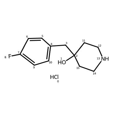 Cl.OC1(Cc2ccc(F)cc2)CCNCC1